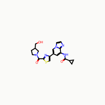 O=C(Nc1cc(-c2csc(C(=O)N3CCC(CO)C3)n2)cn2ccnc12)C1CC1